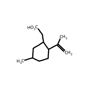 C=C(C)C1CCC(C)CC1CC(=O)O